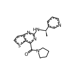 C[C@@H](Nc1nc(C(=O)N2CCCC2)c2sccc2n1)c1cccnc1